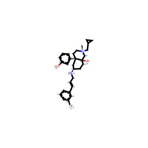 C[N@+]1(CC2CC2)CC[C@@]2(c3cccc(O)c3)C[C@H](NCC=Cc3cccc(C(F)(F)F)c3)CCC2(O)C1